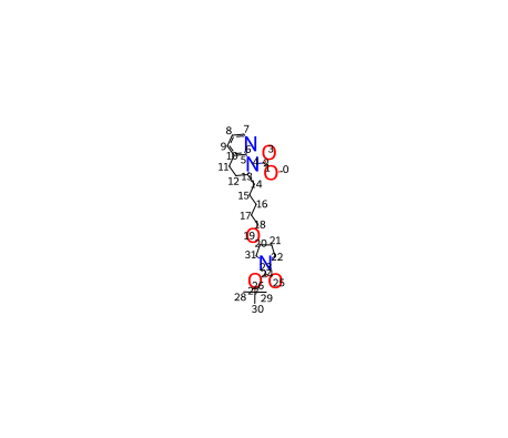 COC(=O)N1c2ncccc2CCC1CCCCCO[C@@H]1CCN(C(=O)OC(C)(C)C)C1